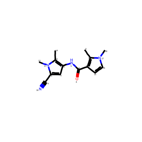 Cc1c(C(=O)Nc2cc(C#N)n(C)c2C)ccn1C